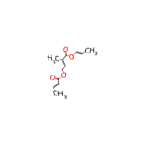 CC=COC(=O)C(C)=CCOC(=O)C=CC